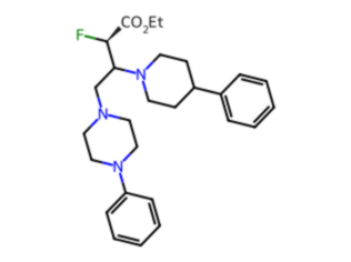 CCOC(=O)[C@H](F)C(CN1CCN(c2ccccc2)CC1)N1CCC(c2ccccc2)CC1